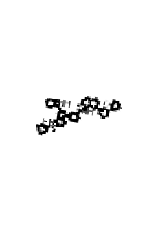 c1ccc(C2Nc3c(ccc4c(-c5cccc(C6Nc7c(ccc8ccc(-c9cccc%10c9oc9ccccc9%10)cc78)S6)c5)cc(-c5[nH]cc6ccccc56)cc34)S2)cc1